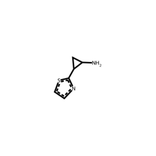 NC1CC1c1nccs1